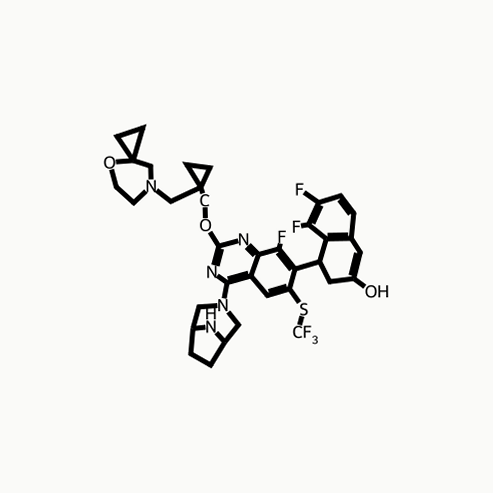 OC1=Cc2ccc(F)c(F)c2C(c2c(SC(F)(F)F)cc3c(N4CC5CCC(C4)N5)nc(OCC4(CN5CCOC6(CC6)C5)CC4)nc3c2F)C1